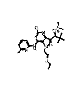 CCOCCn1nc(C(O[SiH](C)C)C(C)(C)C)c2nc(Cl)nc(Nc3cccc(C)n3)c21